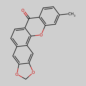 Cc1ccc2c(=O)c3ccc4cc5c(cc4c3oc2c1)OCO5